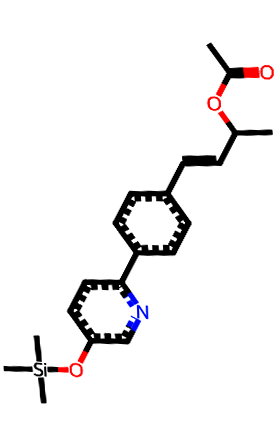 CC(=O)OC(C)C=Cc1ccc(-c2ccc(O[Si](C)(C)C)cn2)cc1